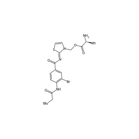 CC(C)[C@H](N)C(=O)OCn1ccs/c1=N\C(=O)c1ccc(NC(=O)CC(C)(C)C)c(Br)c1